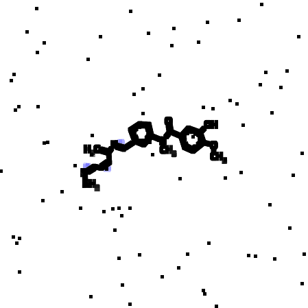 C=C(/C=C\C=N/N)/N=C/c1cccc(N(C)C(=O)c2ccc(OC)c(O)c2)c1